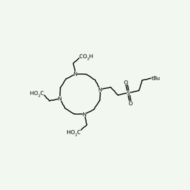 CC(C)(C)CCS(=O)(=O)CCN1CCN(CC(=O)O)CCN(CC(=O)O)CCN(CC(=O)O)CC1